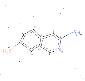 Bc1ccc2cc(N)ncc2c1